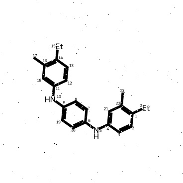 CCc1ccc(Nc2ccc(Nc3ccc(CC)c(C)c3)cc2)cc1C